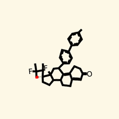 Cc1ccc(-c2ccc(C3CC4(C)C(CC[C@@]4(C)C(C)(F)C(C)(C)F)C4CCC5=CC(=O)CCC5=C34)cc2)cc1